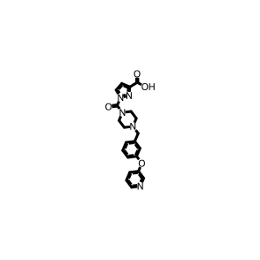 O=C(O)c1ccn(C(=O)N2CCN(Cc3cccc(Oc4cccnc4)c3)CC2)n1